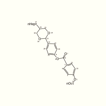 CCCCCCCCOc1ccc(C(=O)Oc2ccc(C3OCC(CCCCCCC)CO3)cc2)cc1